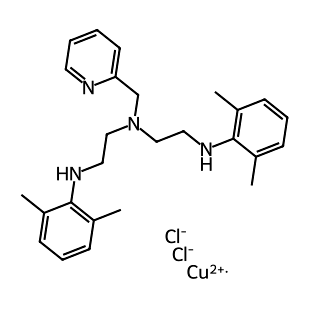 Cc1cccc(C)c1NCCN(CCNc1c(C)cccc1C)Cc1ccccn1.[Cl-].[Cl-].[Cu+2]